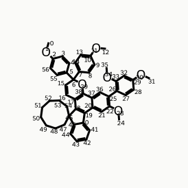 COc1ccc(C2(c3ccc(OC)cc3)C=Cc3c4c(c5cc(OC)c(-c6ccc(OC)cc6OC)cc5c3O2)-c2ccccc2C42CCCCCCCC2)cc1